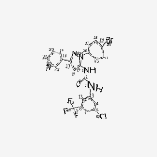 O=C(Nc1cc(Cl)cc(C(F)(F)F)c1)Nc1cc(-c2cccnc2)nn1-c1ccc(Br)cc1